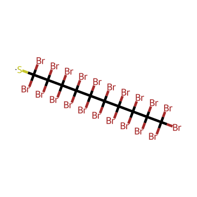 [S]C(Br)(Br)C(Br)(Br)C(Br)(Br)C(Br)(Br)C(Br)(Br)C(Br)(Br)C(Br)(Br)C(Br)(Br)C(Br)(Br)C(Br)(Br)Br